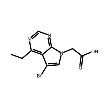 CCc1ncnc2c1c(Br)cn2CC(=O)O